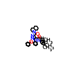 C[C@@H]1[C@H]2CC(C[C@H]1NC(=O)C1=C(c3ccccc3Oc3ccccc3)N=NC1C(=O)N1CCCC3CCCCC31)C2(C)C